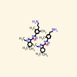 CCn1nc(-c2nc(-c3cc(C)c(CCCN)c(C)c3)no2)c2c1CC(C)(C)CC2.CCn1nc(-c2nc(-c3ccc(CCN)cc3C)no2)c2c1CC(C)(C)CC2